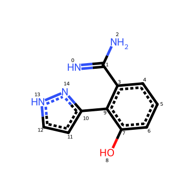 N=C(N)c1cccc(O)c1-c1cc[nH]n1